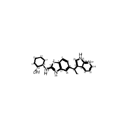 CC(c1ccc2sc(N[C@@H]3CCCC[C@H]3O)nc2c1)c1c[nH]c2ncccc12